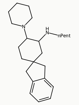 CCCCCNC1CC2(CCC1N1CCCCC1)Cc1ccccc1C2